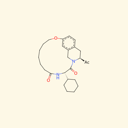 CC(=O)[C@@H]1Cc2ccc3cc2CN1C(=O)[C@H](C1CCCCC1)NC(=O)CCCCCCO3